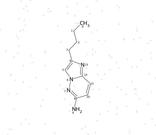 CCCCc1cn2nc(N)ccc2n1